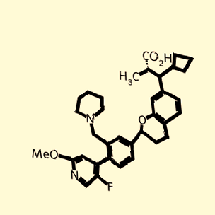 COc1cc(-c2ccc(C3CCc4ccc(C(C5CCC5)[C@H](C)C(=O)O)cc4O3)cc2CN2CCCCC2)c(F)cn1